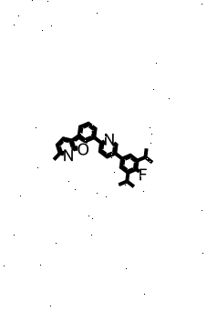 Cc1ccc2c(n1)oc1c(-c3ccc(-c4cc(C(C)C)c(F)c(C(C)C)c4)cn3)cccc12